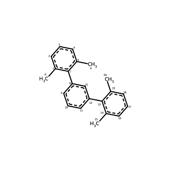 Cc1cccc(C)c1-c1cccc(-c2c(C)cccc2C)c1